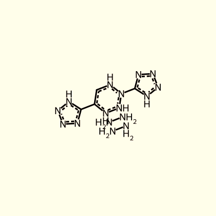 NN.NN.c1[nH]n(-c2nnn[nH]2)[nH][nH]c1-c1nnn[nH]1